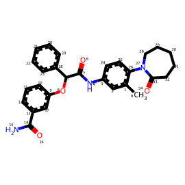 Cc1cc(NC(=O)C(Oc2cccc(C(N)=O)c2)c2ccccc2)ccc1N1CCCCCC1=O